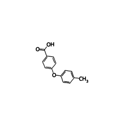 Cc1ccc(Oc2ccc(C(=O)O)cc2)cc1